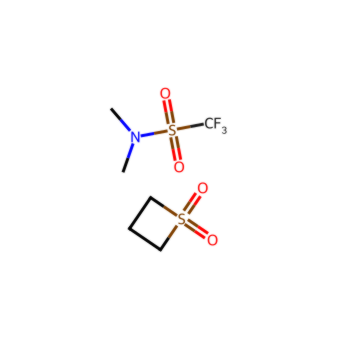 CN(C)S(=O)(=O)C(F)(F)F.O=S1(=O)CCC1